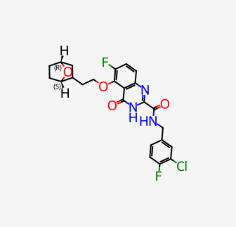 O=C(NCc1ccc(F)c(Cl)c1)c1nc2ccc(F)c(OCCC3C[C@H]4CC[C@@H]3O4)c2c(=O)[nH]1